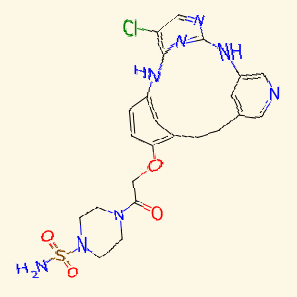 NS(=O)(=O)N1CCN(C(=O)COc2ccc3cc2CCc2cncc(c2)Nc2ncc(Cl)c(n2)N3)CC1